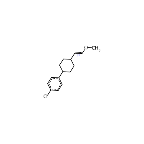 CO/C=C/C1CCC(c2ccc(Cl)cc2)CC1